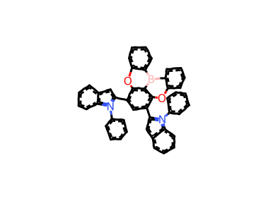 c1ccc(-n2c(-c3cc(-c4cc5ccccc5n4-c4ccccc4)c4c5c3Oc3ccccc3B5c3ccccc3O4)cc3ccccc32)cc1